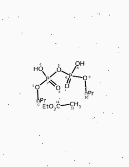 CCCOP(=O)(O)OP(=O)(O)OCCC.CCOC(C)=O